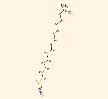 CC(=O)CCCCCCCCCCCCCCSC#N